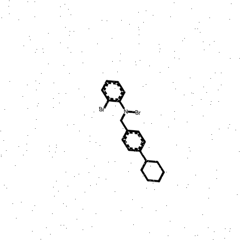 Brc1ccccc1N(Br)Cc1ccc(C2CCCCC2)cc1